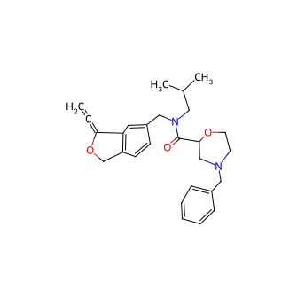 C=C=C1OCc2ccc(CN(CC(C)C)C(=O)C3CN(Cc4ccccc4)CCO3)cc21